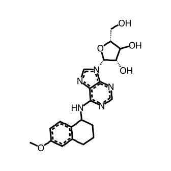 COc1ccc2c(c1)CCCC2Nc1ncnc2c1ncn2[C@@H]1O[C@H](CO)C(O)[C@@H]1O